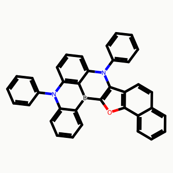 c1ccc(N2c3ccccc3B3c4oc5c(ccc6ccccc65)c4N(c4ccccc4)c4cccc2c43)cc1